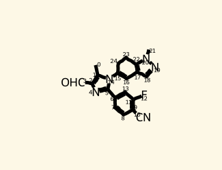 Cc1c(C=O)nc(-c2ccc(C#N)c(F)c2)n1C1=Cc2cnn(C)c2CC1